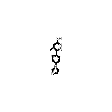 Cc1cc(S)nnc1-c1ccc(-n2ccnc2)cc1